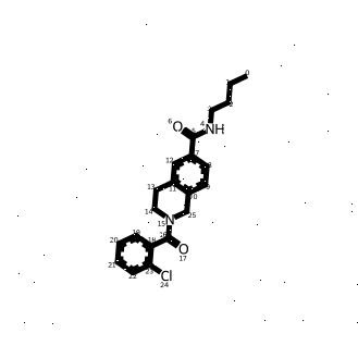 CCCCNC(=O)c1ccc2c(c1)CCN(C(=O)c1ccccc1Cl)C2